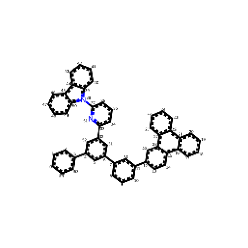 c1ccc(-c2cc(-c3cccc(-c4ccc5c6ccccc6c6ccccc6c5c4)c3)cc(-c3cccc(-n4c5ccccc5c5ccccc54)n3)c2)cc1